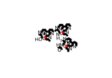 Cc1cccc(-c2ncccc2-c2ccc3nc(C)c(C(N)=O)n3c2)n1.Cc1cccc(-c2ncccc2-c2ccc3ncc(C(=O)NC4COC4)n3n2)n1.Cc1cccc(-c2ncccc2-c2ccc3ncc(C(=O)O)n3n2)n1